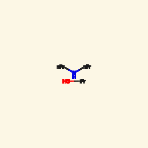 CC(C)O.CCCNCCC